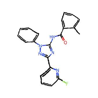 Cc1ccccc1C(=O)Nc1nc(-c2cccc(F)n2)nn1-c1ccccc1